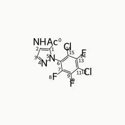 CC(=O)Nc1ccnn1-c1c(F)c(F)c(Cl)c(F)c1Cl